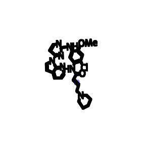 COc1cc(Cl)c(NC(=O)/C=C/CN2CCCCC2)cc1Nc1nccc(-n2ccc3cccnc32)n1